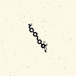 CCOc1ccc(C2CCC(CCC3CCC(C4CCC(/C=C(/C)F)CC4)CC3)CC2)c(F)c1F